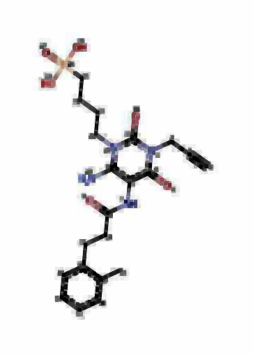 C#CCn1c(=O)c(NC(=O)CCc2ccccc2C)c(N)n(CCCCP(=O)(O)O)c1=O